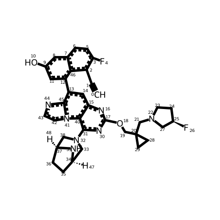 C#Cc1c(F)ccc2cc(O)cc(-c3cc4nc(OCC5(CN6CC[C@@H](F)C6)CC5)nc(N5C[C@H]6CC[C@@H](C5)N6)c4n4ccnc34)c12